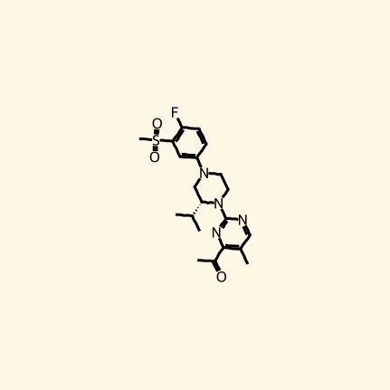 CC(=O)c1nc(N2CCN(c3ccc(F)c(S(C)(=O)=O)c3)C[C@H]2C(C)C)ncc1C